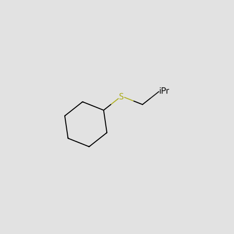 CC(C)CSC1CCCCC1